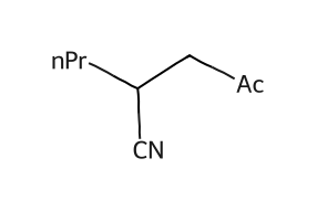 CCCC(C#N)CC(C)=O